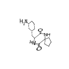 NC1CCCC(CC2NC(=O)C3(CCCC3)NC2=O)C1